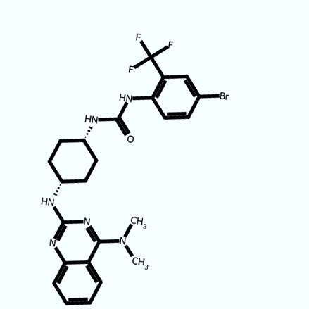 CN(C)c1nc(N[C@H]2CC[C@@H](NC(=O)Nc3ccc(Br)cc3C(F)(F)F)CC2)nc2ccccc12